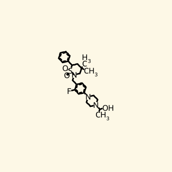 CC(O)N1CCN(c2ccc(CN3CC(C)(C)CC(c4ccccc4)S3(=O)=O)c(F)c2)CC1